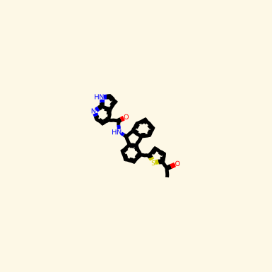 CC(=O)c1ccc(-c2cccc3c2-c2ccccc2C3NC(=O)c2ccnc3[nH]ccc23)s1